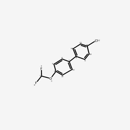 FC(F)Oc1ccc(-c2ccc(Cl)cc2)cc1